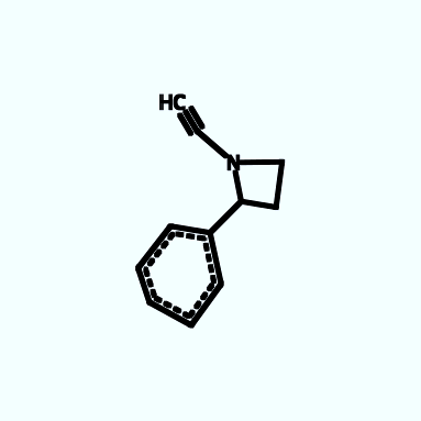 C#CN1CCC1c1ccccc1